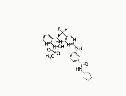 CN(c1ncccc1CNc1nc(Nc2cccc(C(=O)NC3CCCC3)c2)ncc1C(F)(F)F)S(C)(=O)=O